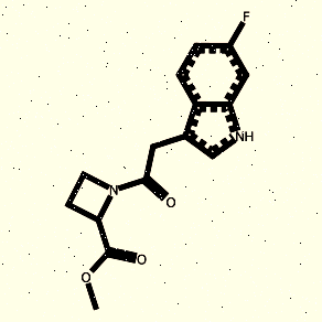 COC(=O)C1CCN1C(=O)Cc1c[nH]c2cc(F)ccc12